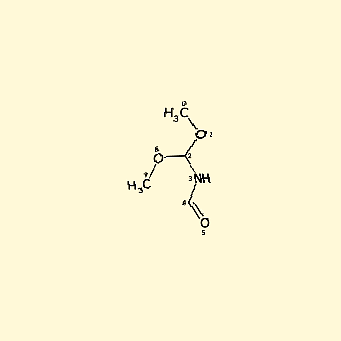 COC(NC=O)OC